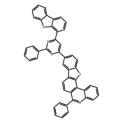 c1ccc(-c2nc(-c3ccc4sc5c(ccc6c(-c7ccccc7)nc7ccccc7c65)c4c3)cc(-c3cccc4c3oc3ccccc34)n2)cc1